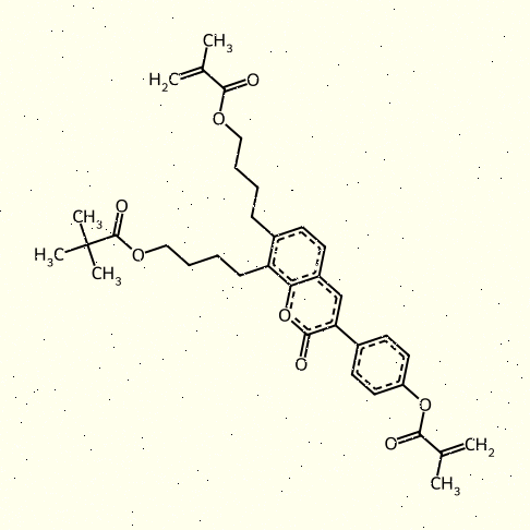 C=C(C)C(=O)OCCCCc1ccc2cc(-c3ccc(OC(=O)C(=C)C)cc3)c(=O)oc2c1CCCCOC(=O)C(C)(C)C